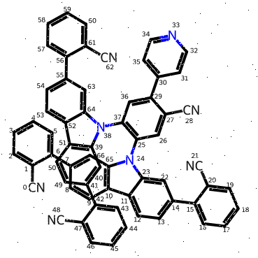 N#Cc1ccccc1-c1ccc2c3ccc(-c4ccccc4C#N)cc3n(-c3cc(C#N)c(-c4ccncc4)cc3-n3c4cc(-c5ccccc5C#N)ccc4c4ccc(-c5ccccc5C#N)cc43)c2c1